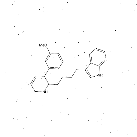 COc1cccc(C2C=CCNC2CCCCc2c[nH]c3ccccc23)c1